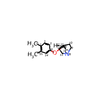 Cc1ccc(O[C@H]2CN3CCC2CC3)cc1C